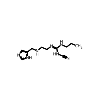 CCCNC(=NCCNCc1cnc[nH]1)NC#N